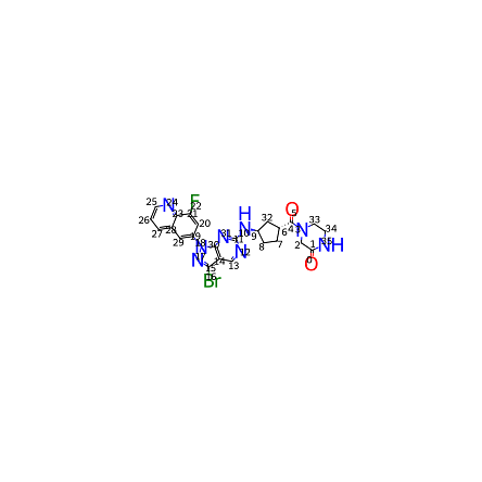 O=C1CN(C(=O)[C@@H]2CC[C@@H](Nc3ncc4c(Br)nn(-c5cc(F)c6ncccc6c5)c4n3)C2)CCN1